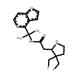 CC(C)(NC(=O)CC1NCCC1(CF)CF)c1nccc2occc12